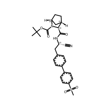 CC(C)(C)OC(=O)N1[C@@H]2CC[C@@H](C2)[C@H]1C(=O)N[C@H](C#N)Cc1ccc(-c2ccc(S(C)(=O)=O)cc2)cc1